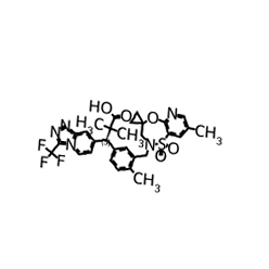 Cc1cnc2c(c1)S(=O)(=O)N(Cc1cc([C@@H](c3ccn4c(C(F)(F)F)nnc4c3)C(C)(C)C(=O)O)ccc1C)CC1(CC1)O2